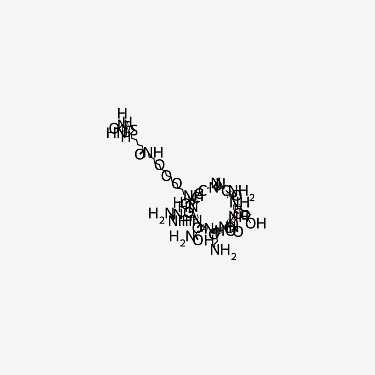 N=C(N)NCCC[C@@H]1NC(=O)[C@H](CCC(N)=O)NC(=O)[C@H](CCCCN)NC(=O)[C@H](CC(=O)O)NC(=O)[C@H](Cc2ccc(O)cc2)NC(=O)[C@@H](N)Cc2cn(nn2)CCCC[C@@H](C(=O)NCCCOCCOCCOCCCNC(=O)CCCCC2SC[C@H]3NC(=O)N[C@@H]23)NC1=O